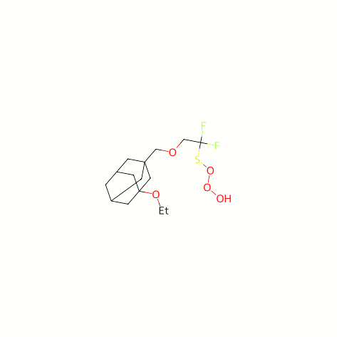 CCOC12CC3CC(CC(COCC(F)(F)SOOO)(C3)C1)C2